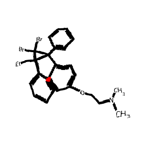 CCC1(c2ccccc2)C(Br)(Br)C1(c1ccccc1)c1ccc(OCCN(C)C)cc1